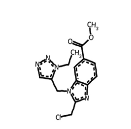 CCn1nncc1Cn1c(CCl)nc2ccc(C(=O)OC)cc21